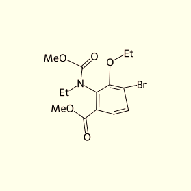 CCOc1c(Br)ccc(C(=O)OC)c1N(CC)C(=O)OC